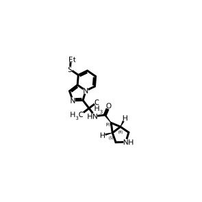 CCSc1cccn2c(C(C)(C)NC(=O)[C@H]3[C@@H]4CNC[C@@H]43)ncc12